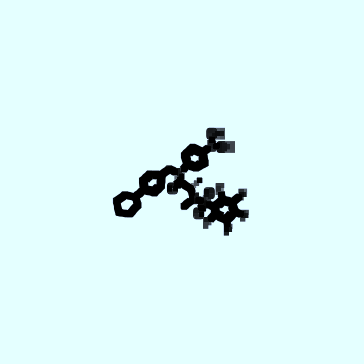 C[C@@H](C(=O)N(Cc1ccc(C2CCCCC2)cc1)c1ccc(B(O)O)cc1)N(C)S(=O)(=O)c1c(F)c(F)c(F)c(F)c1F